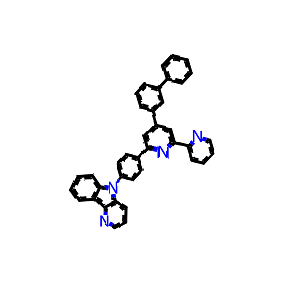 c1ccc(-c2cccc(-c3cc(-c4ccc(-n5c6ccccc6c6ncccc65)cc4)nc(-c4ccccn4)c3)c2)cc1